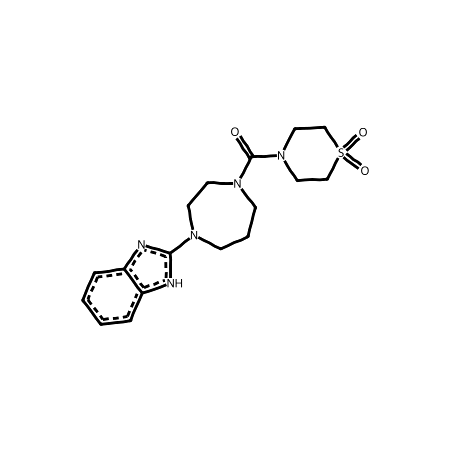 O=C(N1CCCN(c2nc3ccccc3[nH]2)CC1)N1CCS(=O)(=O)CC1